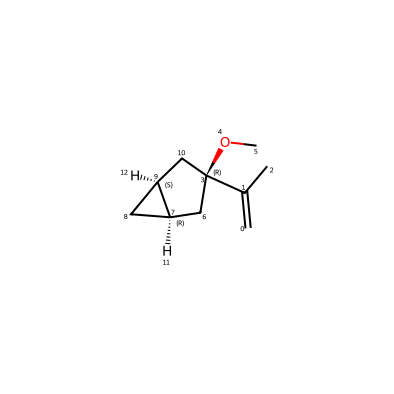 C=C(C)[C@]1(OC)C[C@H]2C[C@H]2C1